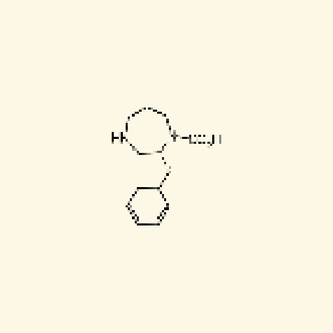 O=C(O)N1CCCNC[C@H]1Cc1ccccc1